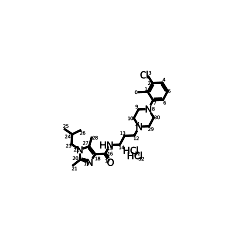 Cc1c(Cl)cccc1N1CCN(CCCNC(=O)c2nc(C)n(CC(C)C)c2C)CC1.Cl.Cl